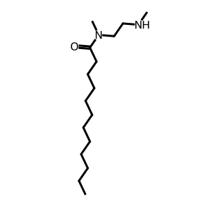 CCCCCCCCCCCC(=O)N(C)CCNC